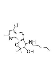 CCCCCNC1c2ccc3c(Cl)cc(C)nc3c2OC(C)(C)C1O